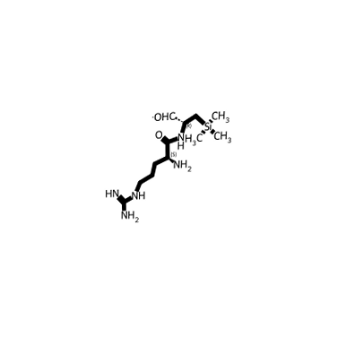 C[Si](C)(C)C[C@@H]([C]=O)NC(=O)[C@@H](N)CCCNC(=N)N